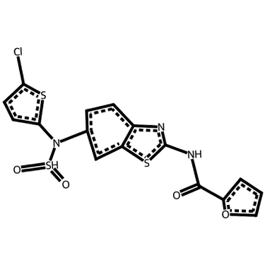 O=C(Nc1nc2ccc(N(c3ccc(Cl)s3)[SH](=O)=O)cc2s1)c1ccco1